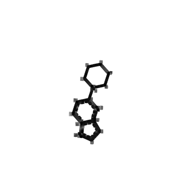 c1cn2nc(N3CCCCC3)ccc2n1